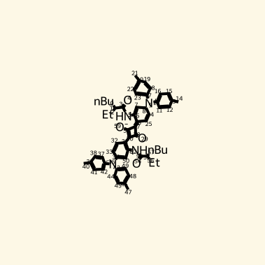 CCCCC(CC)C(=O)NC1=CC(=[N+](c2ccc(C)cc2)c2ccc(C)cc2)C=C/C1=C1\C(=O)C(c2ccc(N(c3ccc(C)cc3)c3ccc(C)cc3)cc2NC(=O)C(CC)CCCC)=C1[O-]